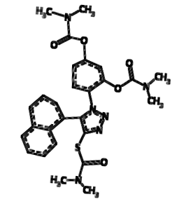 CN(C)C(=O)Oc1ccc(-n2nnc(SC(=O)N(C)C)c2-c2cccc3ccccc23)c(OC(=O)N(C)C)c1